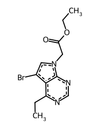 CCOC(=O)Cn1cc(Br)c2c(CC)ncnc21